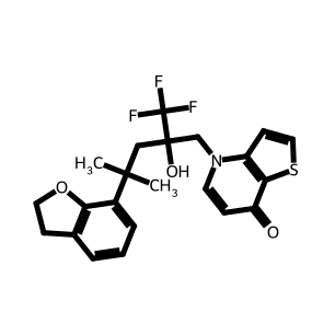 CC(C)(CC(O)(Cn1ccc(=O)c2sccc21)C(F)(F)F)c1cccc2c1OCC2